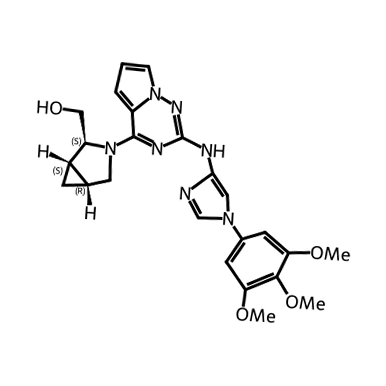 COc1cc(-n2cnc(Nc3nc(N4C[C@@H]5C[C@@H]5[C@H]4CO)c4cccn4n3)c2)cc(OC)c1OC